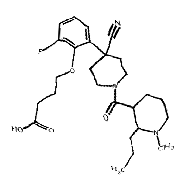 CCCC1C(C(=O)N2CCC(C#N)(c3cccc(F)c3OCCCC(=O)O)CC2)CCCN1C